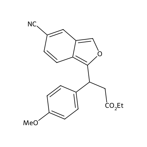 CCOC(=O)CC(c1ccc(OC)cc1)c1occ2cc(C#N)ccc12